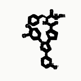 O=C(N[C@H](Cc1ccccc1)C(=O)NO)c1ccc(-c2cc(-c3ccc[n+]([O-])c3)nn2-c2ccc(Cl)c(Cl)c2)s1